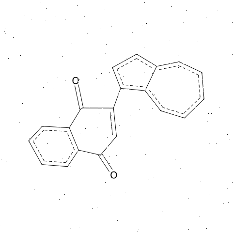 O=C1C=C(c2ccc3cccccc2-3)C(=O)c2ccccc21